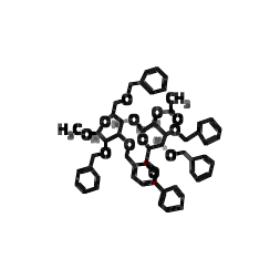 CO[C@H]1OC(COCc2ccccc2)[C@H](O[C@@H]2OC(COCc3ccccc3)[C@@H](OCc3ccccc3)C(OCc3ccccc3)[C@@H]2OC(C)=O)C(OCc2ccccc2)C1OCc1ccccc1